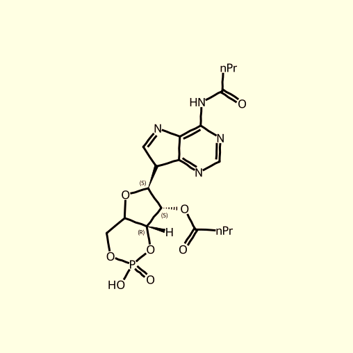 CCCC(=O)Nc1ncnc2c1N=CC2[C@@H]1OC2COP(=O)(O)O[C@H]2[C@H]1OC(=O)CCC